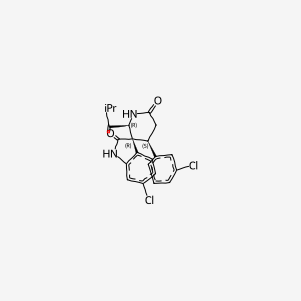 C=C(C(C)C)[C@H]1NC(=O)C[C@@H](c2cccc(Cl)c2)[C@]12C(=O)Nc1cc(Cl)ccc12